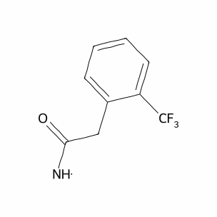 [NH]C(=O)Cc1ccccc1C(F)(F)F